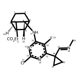 CCOC(=O)[C@H]1C2CCC(CC2)[C@@H]1Nc1nc(Cl)nc(C2(/C=N/C)CC2)c1F